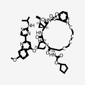 C=C[C@@H]1C[C@@]12NC(=O)[C@@H]1C[C@@H](Oc3cc(-c4csc(NC(C)C)n4)nc4cc(OC)ccc34)CN1C(=O)[C@@H](NC(=O)OC1CCCC1)CCCCCCCNc1ccccc1S(=O)(=O)NC2=O